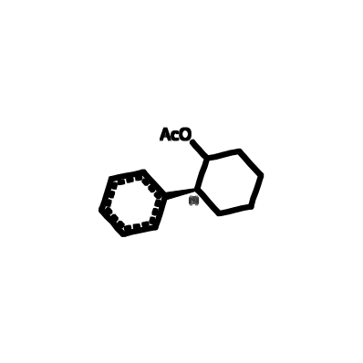 CC(=O)OC1CCCC[C@H]1c1ccccc1